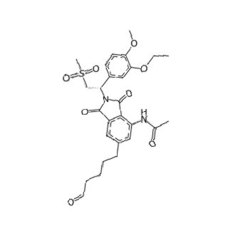 CCOc1cc([C@@H](CS(C)(=O)=O)N2C(=O)c3cc(CCCCC=O)cc(NC(C)=O)c3C2=O)ccc1OC